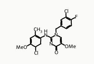 COC1=CC(C)=C(Nc2nc(=O)c(OC)cn2Cc2ccc(F)c(Cl)c2)CC1Cl